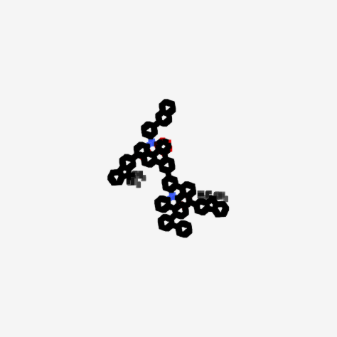 CC1(C)c2ccccc2-c2ccc(-c3ccc(N(c4cccc(-c5ccc6ccccc6c5)c4)c4ccccc4-c4ccccc4-c4cc(-c5ccc(N(c6ccc(-c7ccc8c(c7)C(C)(C)c7ccccc7-8)cc6)c6ccccc6-c6ccccc6-c6ccccc6-c6ccccc6)c(-c6ccccc6)c5)ccc4-c4ccccc4)cc3)cc21